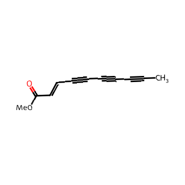 CC#CC#CC#CC=CC(=O)OC